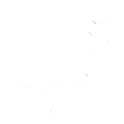 Cc1ccc(C2CCN(C(=O)c3ccc(Oc4ccc(F)cc4)c(F)c3)CC2)nn1